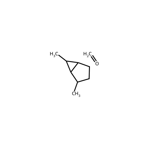 C=O.CC1CCC2C(C)C12